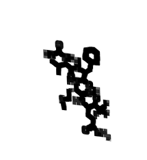 CSCC[C@H](NC(=O)[C@H](Cc1ccccc1)NC(=O)[C@@H](NC(=O)S)C(C)C)C(=O)NC(CCC(N)=O)C(O)C(F)(F)F